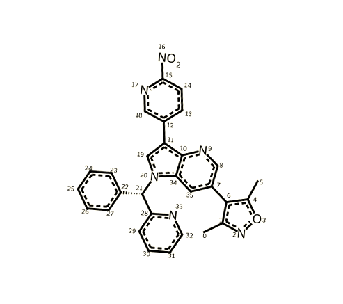 Cc1noc(C)c1-c1cnc2c(-c3ccc([N+](=O)[O-])nc3)cn([C@@H](c3ccccc3)c3ccccn3)c2c1